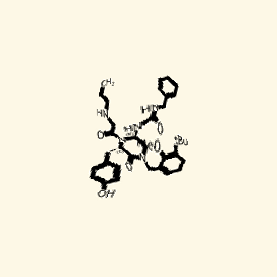 C=CCNCC(=O)N1[C@@H](NC(=O)NCc2ccccc2)CN(CC2=CCCC(C(C)(C)C)=C2OC)C(=O)[C@@H]1Cc1ccc(O)cc1